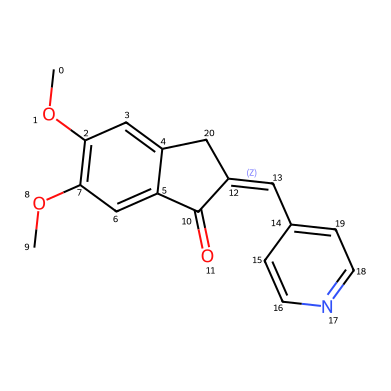 COc1cc2c(cc1OC)C(=O)/C(=C\c1ccncc1)C2